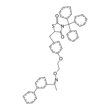 C/C(=N/OCCOc1ccc(CC2SC(=O)N(C(c3ccccc3)(c3ccccc3)c3ccccc3)C2=O)cc1)c1cccc(-c2ccccc2)c1